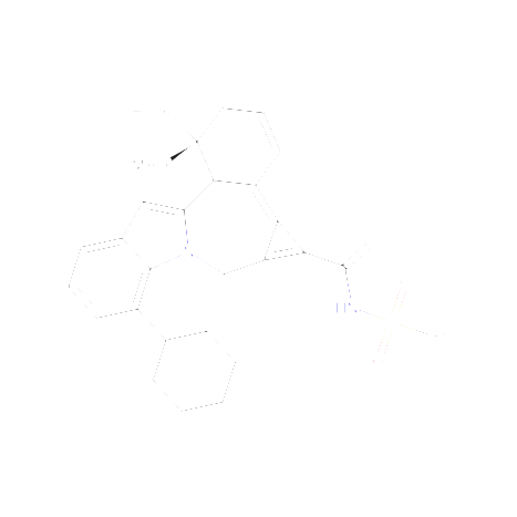 CO[C@@]1(C(=O)O)CC=CC2=C3C(=C3C(=O)NS(=O)(=O)C(C)C)Cn3c(cc4cccc(C5CCCCC5)c43)C21